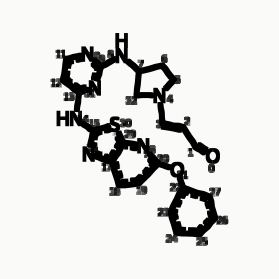 O=CC=CN1CCC(Nc2nccc(Nc3nc4ccc(Oc5ccccc5)nc4s3)n2)C1